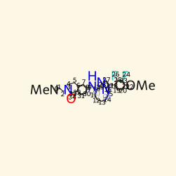 CNCCN1CCc2cc(N/C3=C/CC/C=C\n4c(-c5ccc(OC)c(F)c5F)cnc43)ccc2C1=O